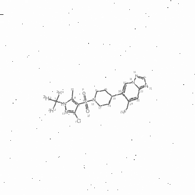 [2H]C([2H])([2H])n1nc(Cl)c(S(=O)(=O)N2CCC(c3cn4ncnc4cc3F)CC2)c1C